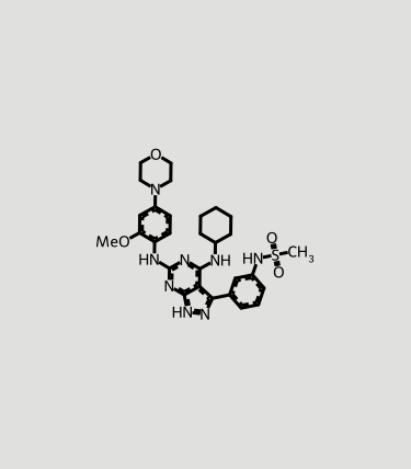 COc1cc(N2CCOCC2)ccc1Nc1nc(NC2CCCCC2)c2c(-c3cccc(NS(C)(=O)=O)c3)n[nH]c2n1